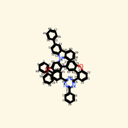 c1ccc(-c2ccc(-c3nc(-c4ccccc4)nc(-c4cccc5oc6ccc(-c7cc8c(cc7-n7c9ccccc9c9cc(-c%10ccccc%10)ccc97)oc7ccccc78)cc6c45)n3)cc2)cc1